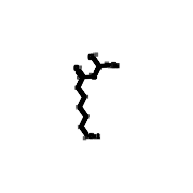 CCCCCCCCCCCCCC(=O)OC(Cl)CCCC